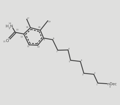 CCCCCCCCCCCCCCCCCCc1ccc(C(N)=O)c(C)c1C